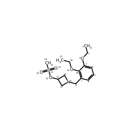 CCOc1cccc(CN2CC(OS(C)(=O)=O)C2)c1OCC